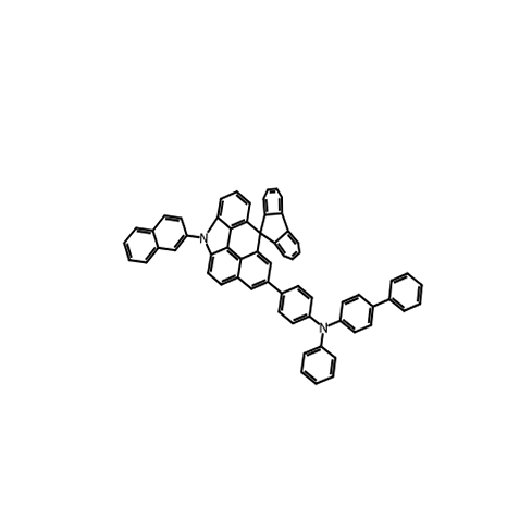 c1ccc(-c2ccc(N(c3ccccc3)c3ccc(-c4cc5c6c(ccc7c6c6c(cccc6n7-c6ccc7ccccc7c6)C56c5ccccc5-c5ccccc56)c4)cc3)cc2)cc1